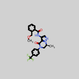 COCc1ccccc1C(=O)Nc1cnn2c1C(=O)N(c1ccc(C(F)(F)F)cc1)C[C@@H]2C